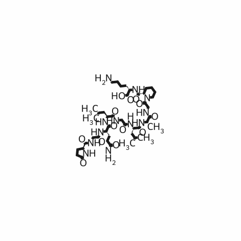 CC(C)C[C@H](NC(=O)CNC(=O)[C@H](CC(C)C)NC(=O)[C@H](CCC(N)=O)NC(=O)CNC(=O)[C@@H]1CCC(=O)N1)C(=O)N[C@@H](C)C(=O)NCC(=O)N1CCCC[C@H]1C(=O)N[C@@H](CCCCN)C(=O)O